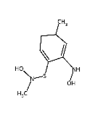 CC1C=C(NO)C(SN(C)O)=CC1